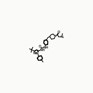 Cc1ccc(-n2nc(C(C)(C)C)cc2NC(=O)Nc2ccc(CC3CCN(C(=O)CN(C)C)CC3)cc2)cc1